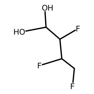 OC(O)C(F)C(F)CF